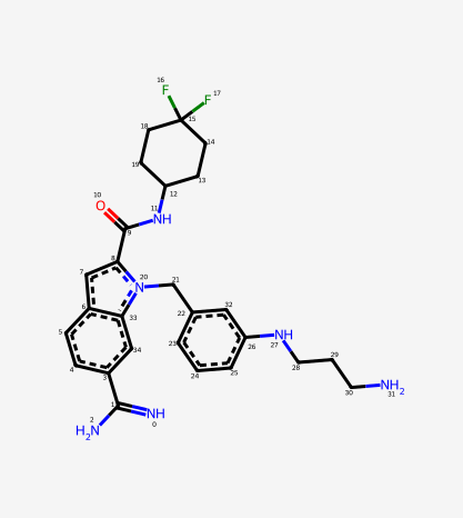 N=C(N)c1ccc2cc(C(=O)NC3CCC(F)(F)CC3)n(Cc3cccc(NCCCN)c3)c2c1